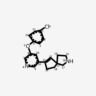 Clc1ccc(Oc2cncc(C3=CC4(CCNC4)CC3)c2)cc1